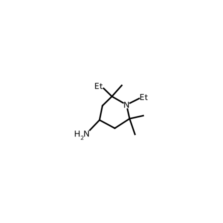 CCN1C(C)(C)CC(N)CC1(C)CC